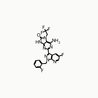 Nc1nc(-c2nn(Cc3ccccc3F)c3ncc(F)cc23)nc2[nH]c(=O)n(CC(F)(F)F)c12